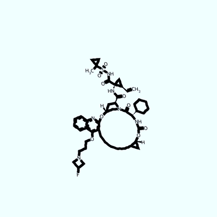 C=C[C@@H]1C[C@]1(NC(=O)[C@@H]1C[C@@H]2CN1C(=O)[C@H](C1CCCCC1)NC(=O)O[C@@H]1CC1CCCCCc1c(nc3ccccc3c1OCCCN1CC(F)C1)O2)C(=O)NS(=O)(=O)C1(C)CC1